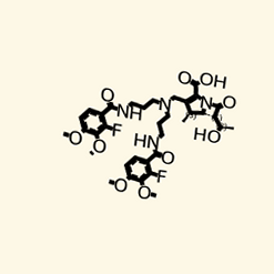 COc1ccc(C(=O)NCCCN(CCCNC(=O)c2ccc(OC)c(OC)c2F)CC2=C(C(=O)O)N3C(=O)[C@H]([C@@H](C)O)C3[C@H]2C)c(F)c1OC